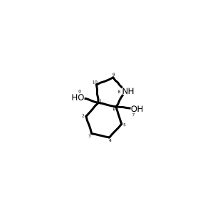 OC12CCCCC1(O)NCC2